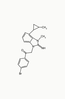 CC1CC1c1cccc2c1n(C)c(=N)n2CC(=O)c1ccc(Br)cc1